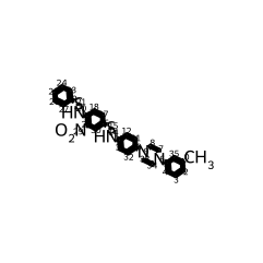 Cc1cccc(N2CCN(c3ccc(NSc4ccc(NSc5ccccc5)c([N+](=O)[O-])c4)cc3)CC2)c1